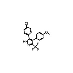 COc1ccc(-c2c(C(F)(F)F)n[nH]c2-c2ccc(Cl)cc2)cc1